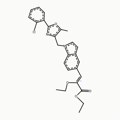 CCOC(=O)/C(=C/c1ccc2c(ccn2Cc2nc(-c3ccccc3Cl)oc2C)c1)OCC